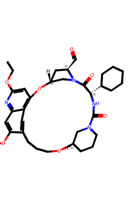 CCOc1cc2c3cc(c(OC)cc3n1)CCCO[C@H]1CCCN(C1)C(=O)N[C@@H](C1CCCCC1)C(=O)N1C[C@@H](C[C@H]1C=O)O2